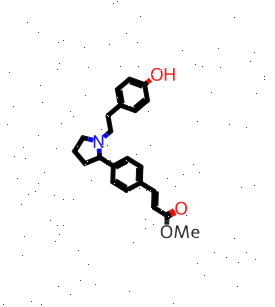 COC(=O)C=Cc1ccc(C2CCCN2CCc2ccc(O)cc2)cc1